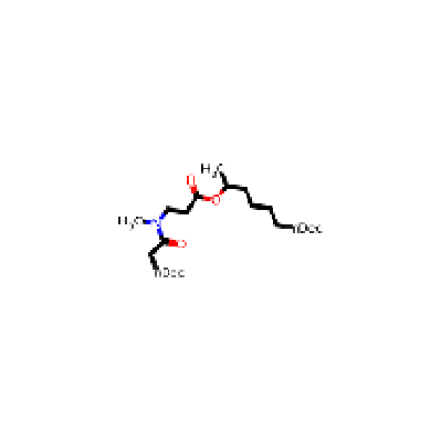 CCCCCCCCCCCCCCC(C)OC(=O)CCN(C)C(=O)CCCCCCCCCCC